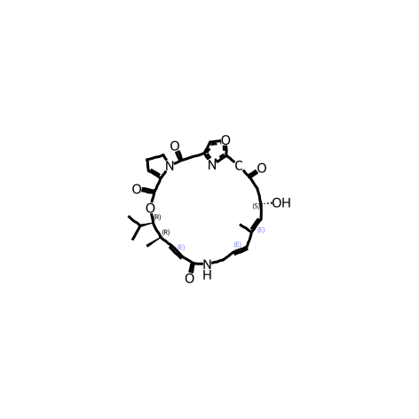 CC1=C\[C@@H](O)CC(=O)Cc2nc(co2)C(=O)N2CCC=C2C(=O)O[C@H](C(C)C)[C@H](C)/C=C/C(=O)NC\C=C\1